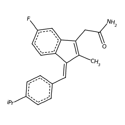 CC1=C(CC(N)=O)c2cc(F)ccc2/C1=C\c1ccc(C(C)C)cc1